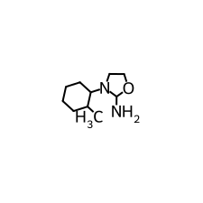 CC1CCCCC1N1CCOC1N